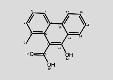 Cc1cccc2c1c(C(=O)O)c(O)c1ccccc12